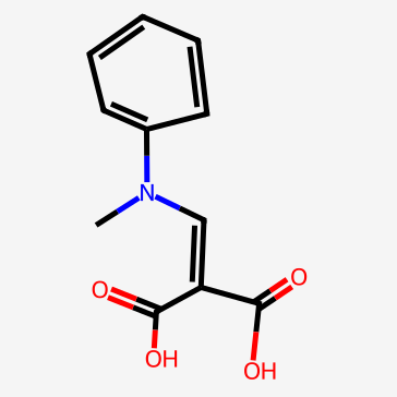 CN(C=C(C(=O)O)C(=O)O)c1ccccc1